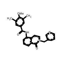 COc1c(C)cc(C(=O)Nc2cccc3c(=O)n(Cc4cccnc4)ccc23)cc1C